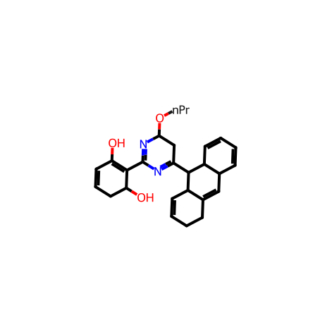 CCCOC1CC(C2C3C=CCCC3=CC3C=CC=CC32)=NC(C2=C(O)C=CCC2O)=N1